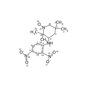 CC1(C)CC(Nc2ccc([N+](=O)[O-])cc2[N+](=O)[O-])C(C)(C)N([O])C1